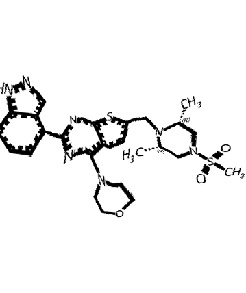 C[C@@H]1CN(S(C)(=O)=O)C[C@H](C)N1Cc1cc2c(N3CCOCC3)nc(-c3cccc4[nH]ncc34)nc2s1